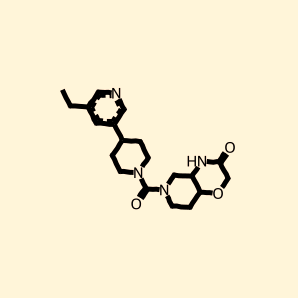 CCc1cncc(C2CCN(C(=O)N3CCC4OCC(=O)NC4C3)CC2)c1